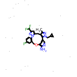 Cc1nn(CC2CC2)c2c1Cc1cc(C(F)F)nn1-c1ccc(F)cc1COc1cc-2cnc1N